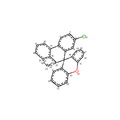 Clc1ccc2c(c1)C1(c3ccccc3Oc3ccccc31)c1cccc3cccc-2c13